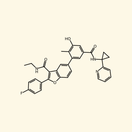 CCNC(=O)c1c(-c2ccc(F)cc2)oc2ccc(-c3cc(C(=O)NC4(c5ccccn5)CC4)cc(O)c3C)cc12